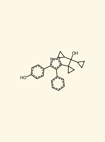 Oc1ccc(-c2noc(C3(C(O)(C4CC4)C4CC4)CC3)c2-c2ccccc2)cc1